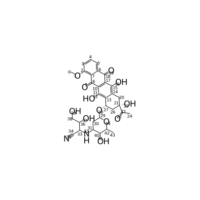 COc1cccc2c1C(=O)c1c(O)c3c(c(O)c1C2=O)C[C@@](O)(C(C)=O)C[C@@H]3OC1CC(NC(C#N)C(O)CO)C(O)C(C)O1